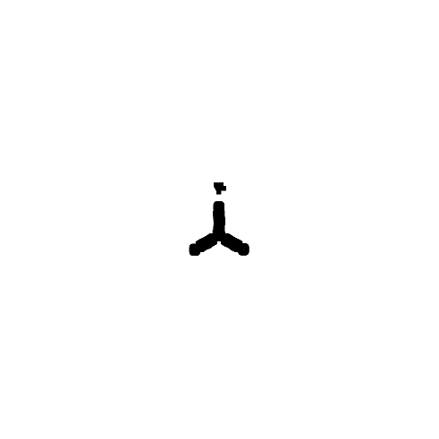 [O]=[Er](=[O])=[O].[Y]